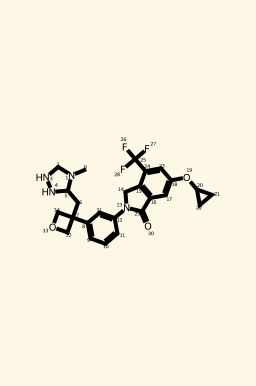 CN1CNNC1CC1(c2cccc(N3Cc4c(cc(OC5CC5)cc4C(F)(F)F)C3=O)c2)COC1